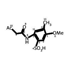 COc1cc(S(=O)(=O)O)c(NC(=O)CC(C)=O)cc1C